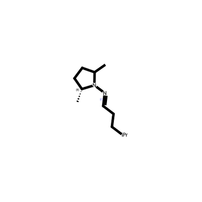 CC(C)CC/C=N/N1C(C)CC[C@H]1C